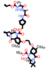 C=CCOC(=O)NC(C(=O)N[C@@H](C)C(=O)Nc1ccc(COC(=O)N2c3cc(OCCCOc4cc5c(cc4OC)C(=O)N4CC(C)(C)C[C@H]4[C@H](O)N5C(=O)OC(C)(C)C)c(OC)cc3C(=O)N3CC(=C)C[C@H]3[C@@H]2O)cc1)C(C)C